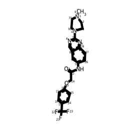 CN1CCN(c2ncc3cc(NC(=O)COc4ccc(C(F)(F)F)cc4)ccc3n2)CC1